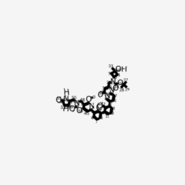 COc1nc(-c2cccc(-c3cccc(-c4ccc5nc(CN(C(=O)OC(C)(C)C)C6CC(C)(O)C6)cc(=O)n5c4)c3Cl)c2Cl)ccc1CN(CC1CCC(=O)N1)C(=O)O